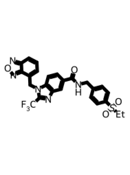 CCS(=O)(=O)c1ccc(CNC(=O)c2ccc3c(c2)nc(C(F)(F)F)n3Cc2cccc3nonc23)cc1